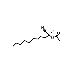 CCCCCCCCC[C@@](C)(C#N)OC(C)=O